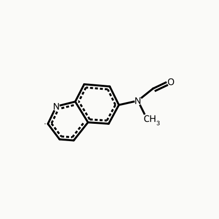 CN(C=O)c1ccc2n[c]ccc2c1